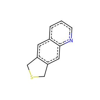 c1cnc2cc3c(cc2c1)CSC3